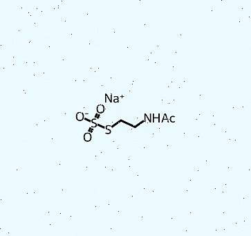 CC(=O)NCCSS(=O)(=O)[O-].[Na+]